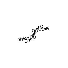 CCCOC(=O)OC(C)COC(=O)/C=C/C(=O)OCC(C)OC(=O)OCCC